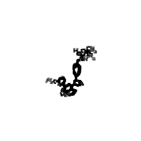 Cc1cccc(-c2cc(-c3cncc(-c4ccc(CNC(=O)OC(C)(C)C)cc4)c3)c3cc[nH]c3n2)n1